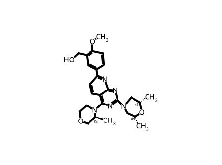 COc1ccc(-c2ccc3c(N4CCOC[C@@H]4C)nc(N4C[C@@H](C)O[C@@H](C)C4)nc3n2)cc1CO